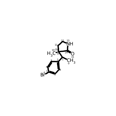 CC(c1ccc(Br)cc1)[C@]1(C)CCNC1=O